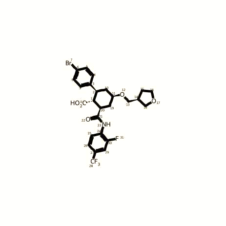 O=C(O)[C@@H]1[C@@H](c2ccc(Br)cc2)C[C@@H](OC[C@H]2CCOC2)C[C@H]1C(=O)Nc1ccc(C(F)(F)F)cc1F